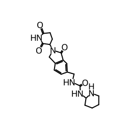 O=C1CCC(N2Cc3ccc(CNC(=O)NC4CCCCN4)cc3C2=O)C(=O)N1